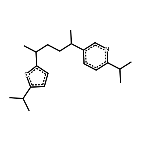 CC(C)c1ccc(C(C)CCC(C)c2ccc(C(C)C)s2)cn1